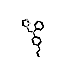 C=CCc1ccc(N(Cn2ccnn2)c2ccccc2)cc1